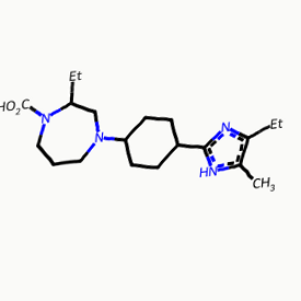 CCc1nc(C2CCC(N3CCCN(C(=O)O)C(CC)C3)CC2)[nH]c1C